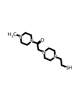 CN1CCN(C(=O)CN2CCN(CCS)CC2)CC1